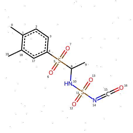 Cc1ccc(S(=O)(=O)C(C)NS(=O)(=O)N=C=O)cc1C